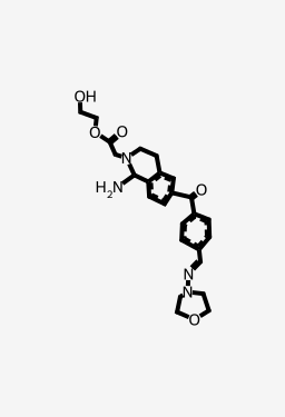 NC1c2ccc(C(=O)c3ccc(C=NN4CCOCC4)cc3)cc2CCN1CC(=O)OCCO